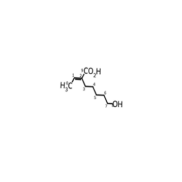 C/C=C(\CCCCCO)C(=O)O